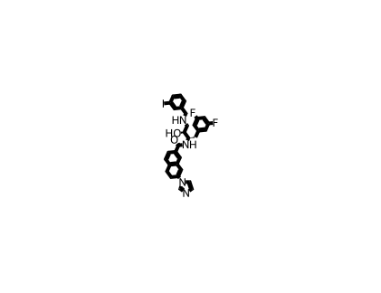 O=C(N[C@@H](Cc1cc(F)cc(F)c1)[C@@H](O)CNCc1cccc(I)c1)c1ccc2c(c1)C=C(n1ccnc1)CC2